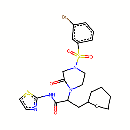 O=C(Nc1nccs1)C(CC1CCCCC1)N1CCN(S(=O)(=O)c2cccc(Br)c2)CC1=O